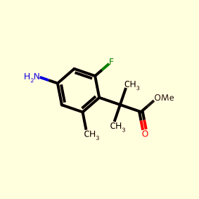 COC(=O)C(C)(C)c1c(C)cc(N)cc1F